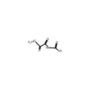 COC(=O)C(=O)NC(=O)O